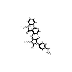 CC1C(=O)N(c2ccc(OC(F)(F)F)cc2)C(=O)N1Cc1ccncc1C(=O)N(C)c1ccccc1